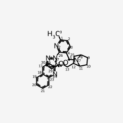 Cc1ccc(C(=O)N2C3CCC2C(COc2ccc4ccccc4n2)C3)c(-n2nccn2)n1